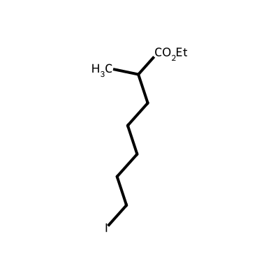 CCOC(=O)C(C)CCCCCI